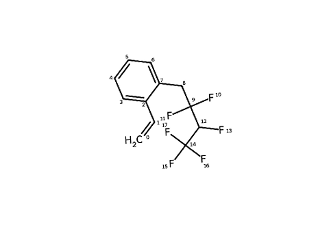 C=Cc1ccccc1CC(F)(F)C(F)C(F)(F)F